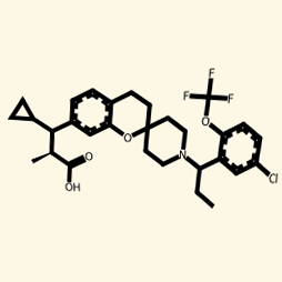 CCC(c1cc(Cl)ccc1OC(F)(F)F)N1CCC2(CCc3ccc(C(C4CC4)[C@H](C)C(=O)O)cc3O2)CC1